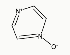 [O-][N+]1=CC=[N+]C=C1